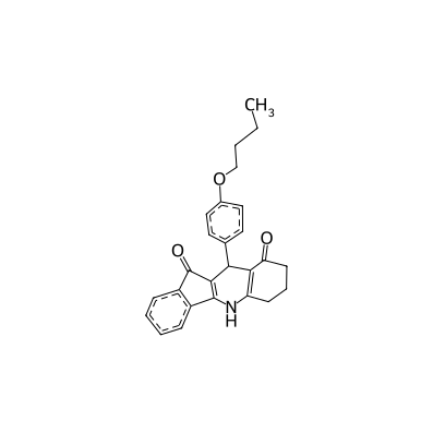 CCCCOc1ccc(C2C3=C(CCCC3=O)NC3=C2C(=O)c2ccccc23)cc1